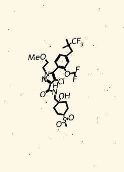 COCCn1nc(C(=O)NC[C@]2(O)CC[C@@H](S(C)(=O)=O)CC2)c(Cl)c1-c1ccc(CC(C)(C)C(F)(F)F)cc1OC(F)F